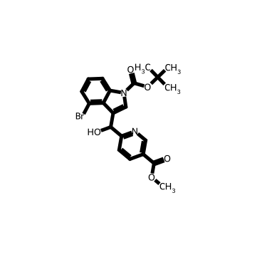 COC(=O)c1ccc(C(O)c2cn(C(=O)OC(C)(C)C)c3cccc(Br)c23)nc1